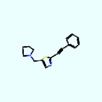 C(#Cc1ncc(CN2CCCC2)s1)c1ccccc1